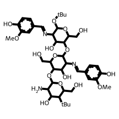 COc1cc(/C=N/C2C(OC3C(CO)OC(OC(C)(C)C)C(/N=C/c4ccc(O)c(OC)c4)C3O)OC(CO)C(OC3OC(CO)C(C(C)(C)C)C(O)C3N)C2O)ccc1O